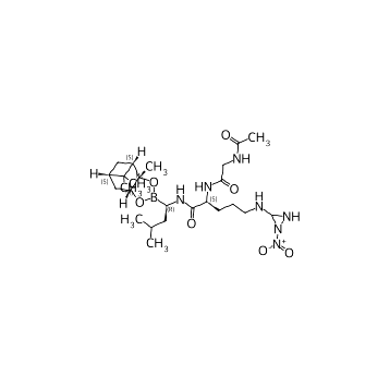 CC(=O)NCC(=O)N[C@@H](CCCNC1NN1[N+](=O)[O-])C(=O)N[C@@H](CC(C)C)B1O[C@@H]2C[C@@H]3C[C@@H](C3(C)C)[C@]2(C)O1